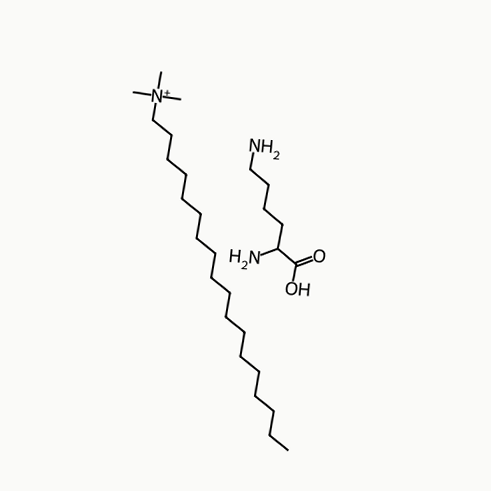 CCCCCCCCCCCCCCCCCC[N+](C)(C)C.NCCCCC(N)C(=O)O